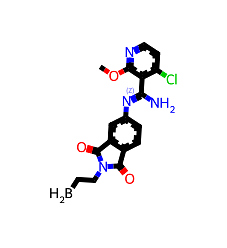 BCCN1C(=O)c2ccc(/N=C(\N)c3c(Cl)ccnc3OC)cc2C1=O